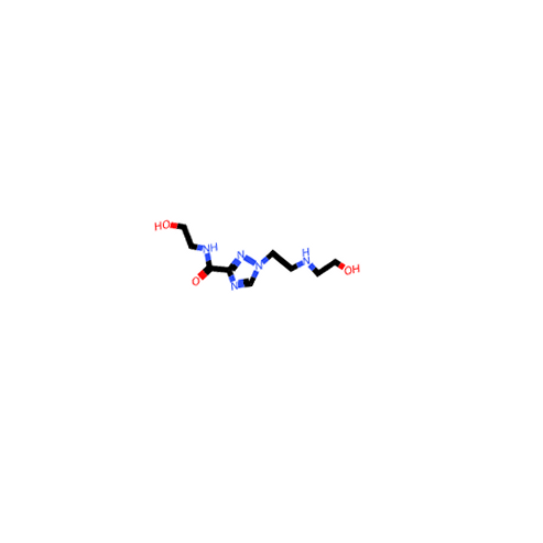 O=C(NCCO)c1ncn(CCNCCO)n1